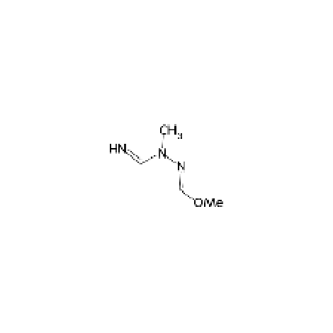 CO/C=N/N(C)C=N